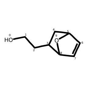 OCCC1CC2C=CC1O2